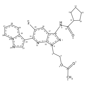 CC(=O)OCCn1nc(NC(=O)C2CCCC2)c2cc(F)c(-c3cnn4ccccc34)nc21